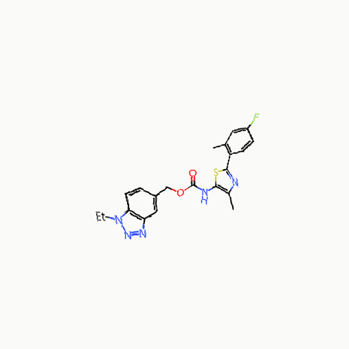 CCn1nnc2cc(COC(=O)Nc3sc(-c4ccc(F)cc4C)nc3C)ccc21